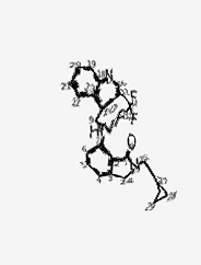 O=C1c2c(cccc2NCc2c(C(F)(F)F)cnc3ccccc23)CN1CC1CC1